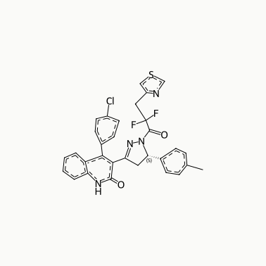 Cc1ccc([C@@H]2CC(c3c(-c4ccc(Cl)cc4)c4ccccc4[nH]c3=O)=NN2C(=O)C(F)(F)Cc2cscn2)cc1